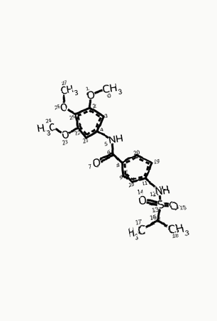 COc1cc(NC(=O)c2ccc(NS(=O)(=O)C(C)C)cc2)cc(OC)c1OC